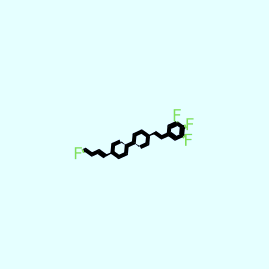 FCCC=C[C@H]1CC[C@H]([C@H]2CC[C@H](CCc3cc(F)c(F)c(F)c3)CC2)CC1